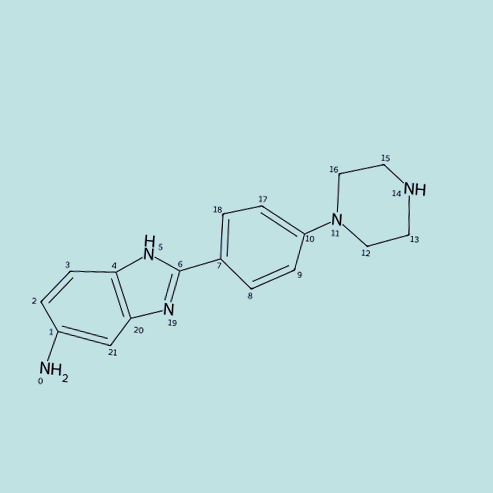 Nc1ccc2[nH]c(-c3ccc(N4CCNCC4)cc3)nc2c1